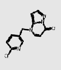 O=c1ccn(Cc2ccc(Cl)nc2)c2ccnn12